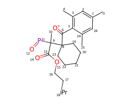 Cc1cc(C)c(C(=O)C2(C(C)(P=O)C(=O)OCCC(C)C)CCCCC2)c(C)c1